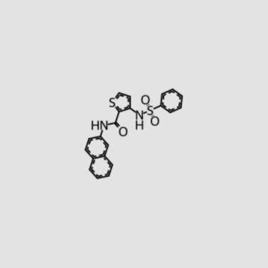 O=C(Nc1ccc2ccccc2c1)c1sccc1NS(=O)(=O)c1ccccc1